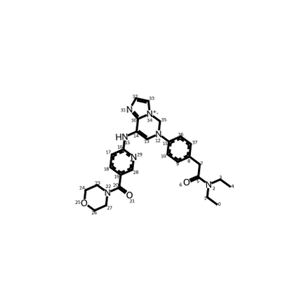 CCN(CC)C(=O)Cc1ccc(N2C=C(Nc3ccc(C(=O)N4CCOCC4)cn3)C3=NC=C[N+]3C2)cc1